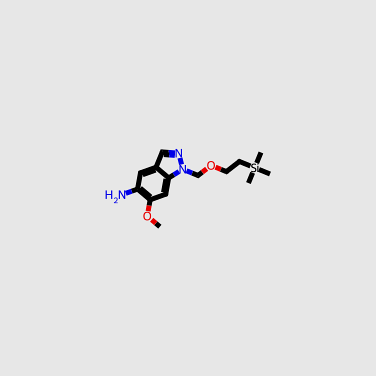 COc1cc2c(cnn2COCC[Si](C)(C)C)cc1N